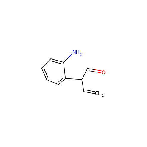 C=CC(C=O)c1ccccc1N